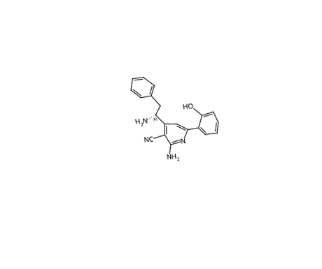 N#Cc1c([C@H](N)Cc2ccccc2)cc(-c2ccccc2O)nc1N